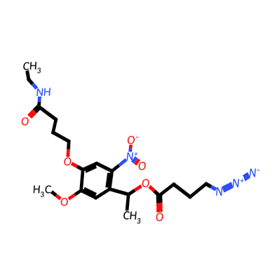 CCNC(=O)CCCOc1cc([N+](=O)[O-])c(C(C)OC(=O)CCCN=[N+]=[N-])cc1OC